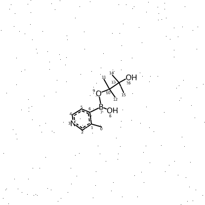 Cc1cnccc1B(O)OC(C)(C)C(C)(C)O